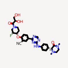 CN1CCN(C)[C@H](c2ccc(Nc3ncnc(-c4ccc(O[C@H]5CCN(C(=O)C(O)CO)C[C@H]5F)c(C#N)c4)n3)cc2)C1=O